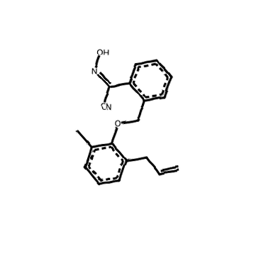 C=CCc1cccc(C)c1OCc1ccccc1/C(C#N)=N\O